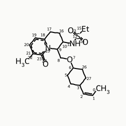 C/C=C\C1CCC(OCC2C(NS(=O)(=O)CC)CCc3ccc(C)c(=O)n32)CC1